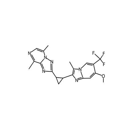 COc1cc2nc(C3CC3c3nc4c(C)ncc(C)n4n3)c(C)n2cc1C(F)(F)F